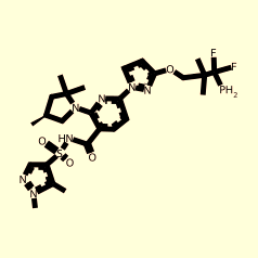 Cc1c(S(=O)(=O)NC(=O)c2ccc(-n3ccc(OCC(C)(C)C(F)(F)P)n3)nc2N2C[C@@H](C)CC2(C)C)cnn1C